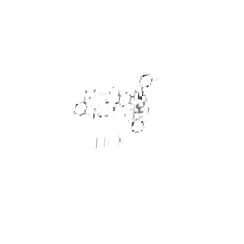 COc1cc2c(cc1N1CCN(Cc3ccccc3)CC1)c(S(=O)(=O)c1ccccc1)nn2-c1ccccc1.Cl